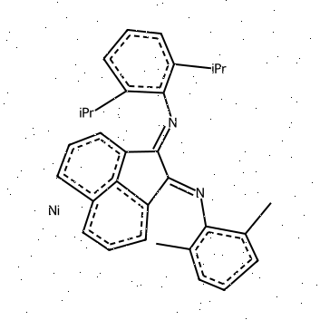 Cc1cccc(C)c1N=C1C(=Nc2c(C(C)C)cccc2C(C)C)c2cccc3cccc1c23.[Ni]